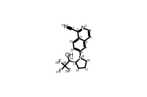 N#Cc1nccc2cc(N3CCC[C@H]3C(O)C(F)(F)F)ccc12